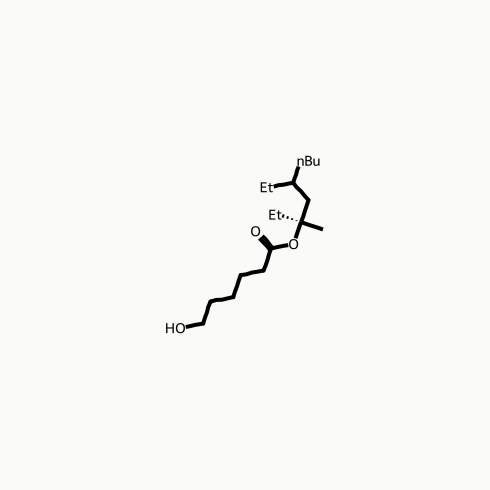 CCCCC(CC)C[C@](C)(CC)OC(=O)CCCCCO